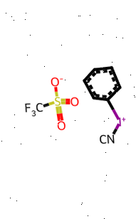 O=S(=O)([O-])C(F)(F)F.[C-]#[N+][I+]c1ccccc1